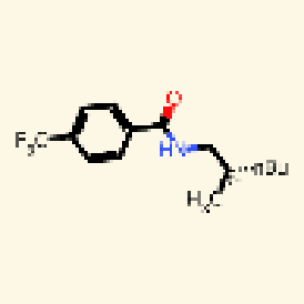 CCCC[C@H](C)CNC(=O)c1ccc(C(F)(F)F)cc1